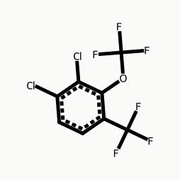 FC(F)(F)Oc1c(C(F)(F)F)ccc(Cl)c1Cl